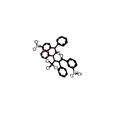 O=C(c1cccc([N+](=O)[O-])c1)C(c1ccccc1)C(C(C(=S)C(c1ccccc1)c1ccc([N+](=O)[O-])cc1)c1ccccc1)C(Cl)(Cl)Cl